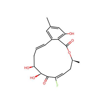 Cc1cc(O)c2c(c1)/C=C/C[C@H](O)[C@H](O)C(=O)/C(F)=C\C[C@H](C)OC2=O